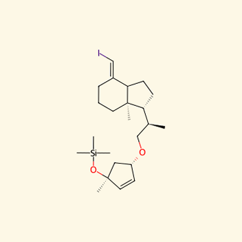 C[C@@H](CO[C@@H]1C=C[C@@](C)(O[Si](C)(C)C)C1)[C@H]1CCC2C(=CI)CCC[C@@]21C